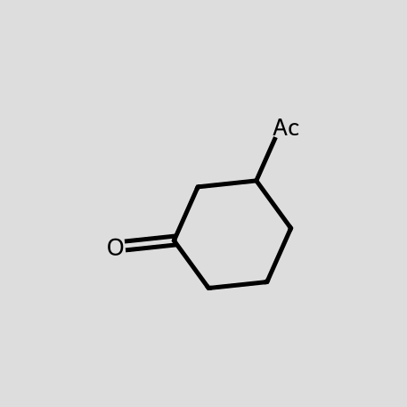 CC(=O)C1CCCC(=O)C1